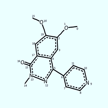 COc1cc2c(-c3ccncc3)nn(C)c(=O)c2cc1OC